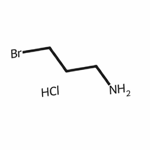 Cl.NCCCBr